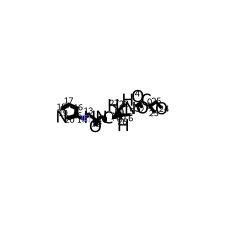 CC1(OC(=O)N2C[C@@H]3[C@@H](CNC(=O)/C=C/c4cccnc4)[C@@H]3C2)COC1